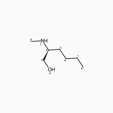 [CH2]N[C@H](CO)CCCC